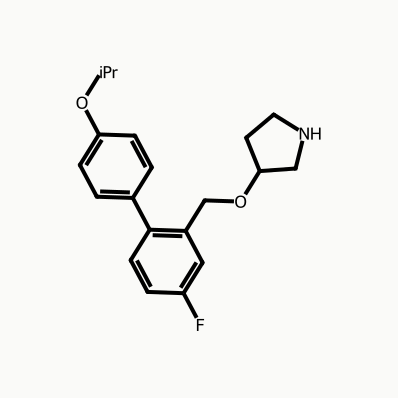 CC(C)Oc1ccc(-c2ccc(F)cc2COC2CCNC2)cc1